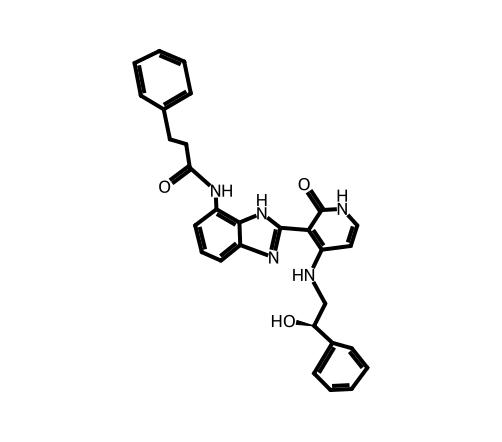 O=C(CCc1ccccc1)Nc1cccc2nc(-c3c(NC[C@H](O)c4ccccc4)cc[nH]c3=O)[nH]c12